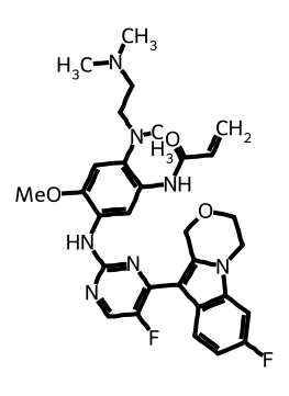 C=CC(=O)Nc1cc(Nc2ncc(F)c(-c3c4n(c5cc(F)ccc35)CCOC4)n2)c(OC)cc1N(C)CCN(C)C